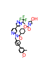 COc1ccc(C23CCC(CN(C(=O)C4CCC(OC(=O)N5CC(O)C5)CC4)c4cc(-c5cnn(C(C)C(F)(F)F)c5)ccn4)(CC2)CC3)cc1C